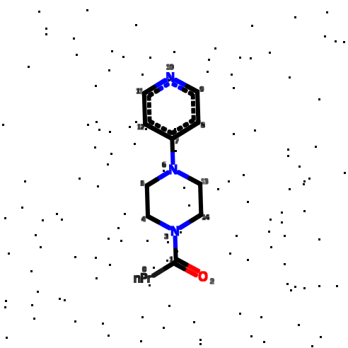 CCCC(=O)N1CCN(c2ccncc2)CC1